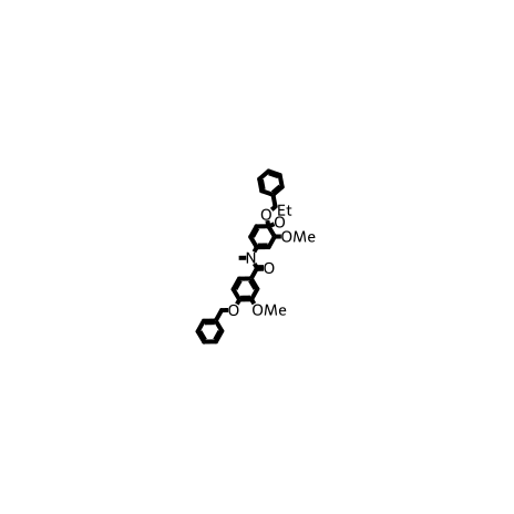 CCOC1(OCc2ccccc2)C=CC(N(C)C(=O)c2ccc(OCc3ccccc3)c(OC)c2)=CC1OC